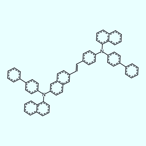 C(=C\c1ccc2cc(N(c3ccc(-c4ccccc4)cc3)c3cccc4ccccc34)ccc2c1)/c1ccc(N(c2ccc(-c3ccccc3)cc2)c2cccc3ccccc23)cc1